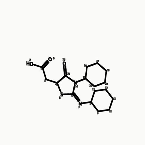 O=C(O)CC1S/C(=N/C2CCCCC2)N(C2CCCCC2)C1=O